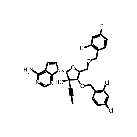 CC#C[C@@]1(O)[C@H](OCc2ccc(Cl)cc2Cl)C(COCc2ccc(Cl)cc2Cl)O[C@H]1n1ccc2c(N)ncnc21